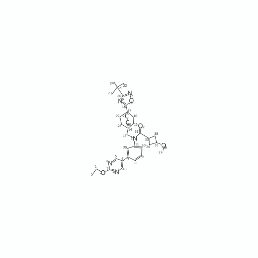 CCOc1ncc(-c2cccc(N(CC34CCC(c5nc(C(C)(C)C)no5)(CC3)CC4)C(=O)C3CC(OC)C3)c2)cn1